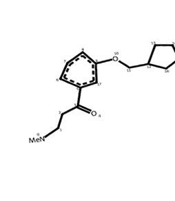 CNCCC(=O)c1cccc(OCC2CCCC2)c1